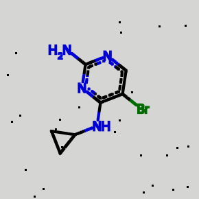 Nc1ncc(Br)c(NC2CC2)n1